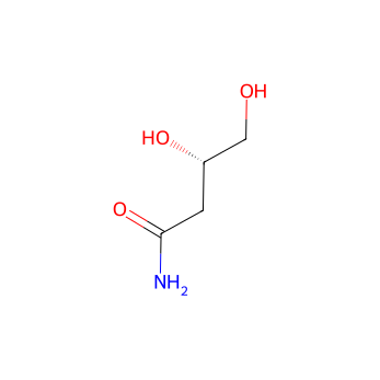 NC(=O)C[C@H](O)CO